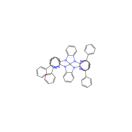 c1ccc(-c2cccc(N3c4ccccc4N(c4cccc(-c5ccccc5)n4)[Si]34N(c3cccc(-c5ccccc5)n3)c3ccccc3N4c3cccc(-c4ccccc4)n3)n2)cc1